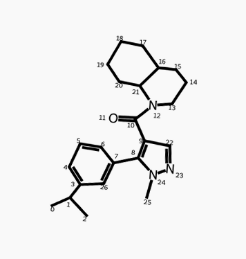 CC(C)c1cccc(-c2c(C(=O)N3CCCC4CCCCC43)cnn2C)c1